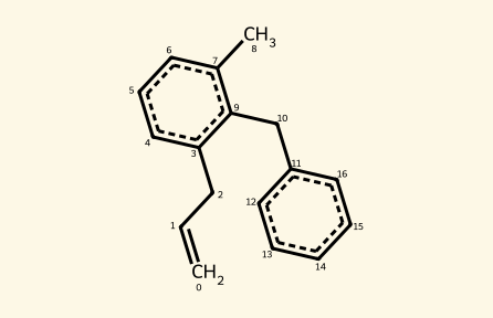 C=CCc1cccc(C)c1Cc1ccccc1